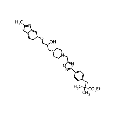 CCOC(=O)C(C)(C)Oc1ccc(-c2noc(CN3CCN(C[C@H](O)COC4C=c5nc(C)sc5=CC4)CC3)n2)cc1